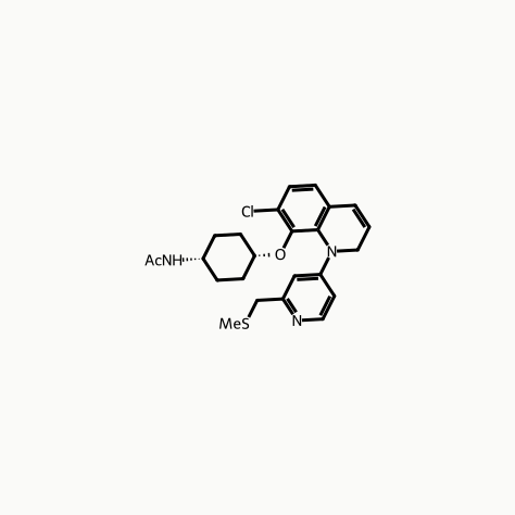 CSCc1cc(N2CC=Cc3ccc(Cl)c(O[C@H]4CC[C@@H](NC(C)=O)CC4)c32)ccn1